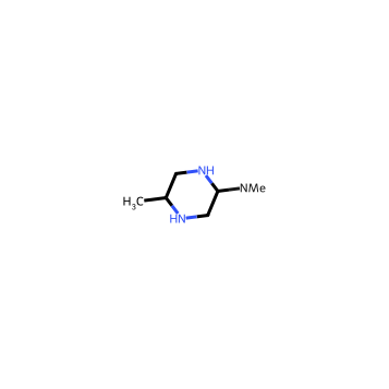 CNC1CNC(C)CN1